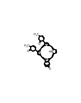 CC1C=CC(C2=Cc3cc4ccc(cc5nc(cc6cc(C7C=CC(C)C(=O)C7)c(cc2n3)[nH]6)C2=C5C3CCC2CC3=O)[nH]4)C(=O)C1